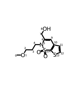 COCCCN1C(CO)=Cc2ccsc2S1(=O)=O